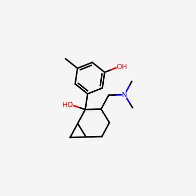 Cc1cc(O)cc(C2(O)C(CN(C)C)CCC3CC32)c1